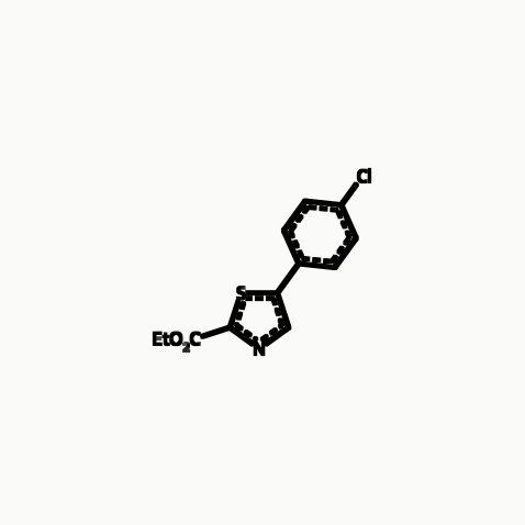 CCOC(=O)c1ncc(-c2ccc(Cl)cc2)s1